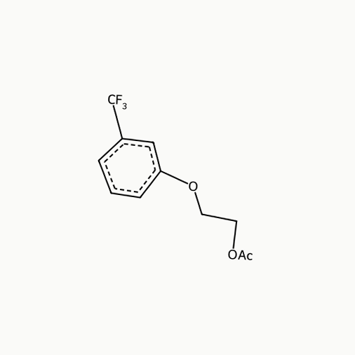 CC(=O)OCCOc1cccc(C(F)(F)F)c1